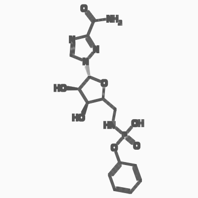 NC(=O)c1ncn([C@@H]2OC(CNP(=O)(O)Oc3ccccc3)[C@@H](O)[C@H]2O)n1